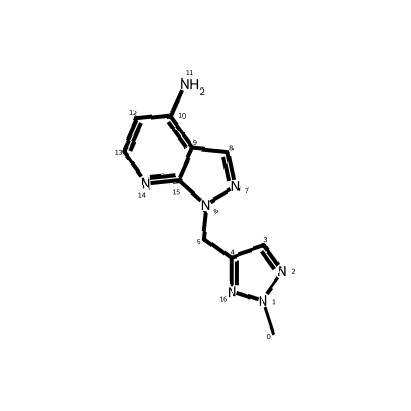 Cn1ncc(Cn2ncc3c(N)ccnc32)n1